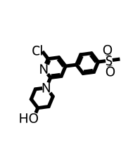 CS(=O)(=O)c1ccc(-c2cc(Cl)nc(N3CCC(O)CC3)c2)cc1